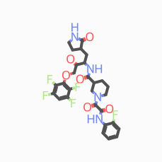 O=C(Nc1ccccc1F)C(=O)N1CCCC(C(=O)NC(CC2CCNC2=O)C(=O)COc2c(F)c(F)cc(F)c2F)C1